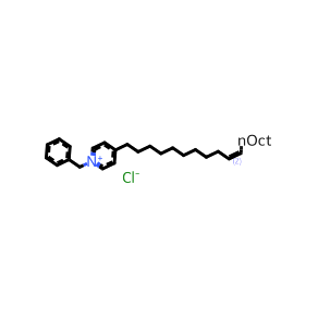 CCCCCCCC/C=C\CCCCCCCCCc1cc[n+](Cc2ccccc2)cc1.[Cl-]